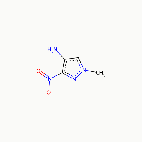 Cn1cc(N)c([N+](=O)[O-])n1